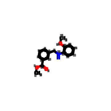 COC(=O)c1cccc(CNc2ccccc2OC)c1